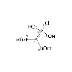 CCCCCCCCS(CCCCCCCC)=P(O)(O)Cl